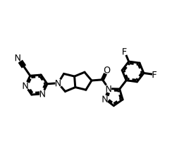 N#Cc1cc(N2CC3CC(C(=O)n4nccc4-c4cc(F)cc(F)c4)CC3C2)ncn1